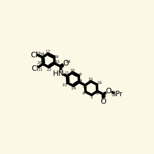 CC(C)OC(=O)C1CCC(c2ccc(NC(=O)c3ccc(Cl)c(Cl)c3)cc2)CC1